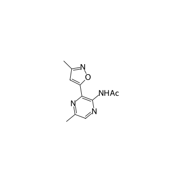 CC(=O)Nc1ncc(C)nc1-c1cc(C)no1